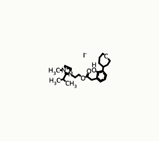 CC(C)c1n(CCOC(=O)Cc2cccc(C3CCCCCC3)c2O)cc[n+]1C.[I-]